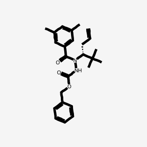 C=CC[C@@H](N(NC(=O)OCc1ccccc1)C(=O)c1cc(C)cc(C)c1)C(C)(C)C